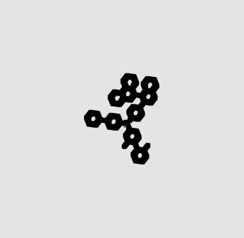 Cc1ccccc1-c1ccc(N(c2ccc(-c3ccccc3)cc2)c2ccc(-c3ccc4ccccc4c3-c3cc4ccccc4c4ccccc34)cc2)cc1C